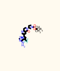 CC(C)(C)OC(=O)N1CC[C@H](N2CCc3ncc(-c4cc(C(F)(F)F)c5c(N)ncnn45)cc3C2=O)C1